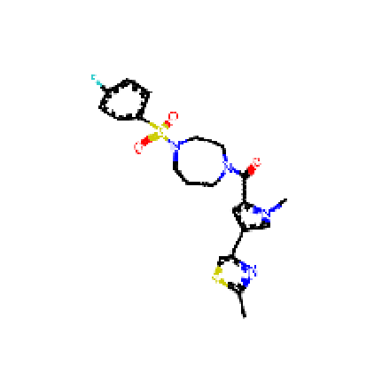 Cc1nc(-c2cc(C(=O)N3CCCN(S(=O)(=O)c4ccc(F)cc4)CC3)n(C)c2)cs1